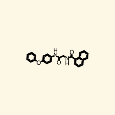 O=C(CNC(=O)c1cccc2ccccc12)Nc1ccc(Oc2ccccc2)cc1